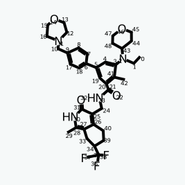 CCN(c1cc(-c2ccc(CN3CCOCC3)cc2)cc(C(=O)NCc2c3c(c(C)[nH]c2=O)CC(C(F)(F)F)CC3)c1C)C1CCOCC1